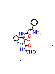 CC(C)[C@@H](C(=O)NC=O)C(=O)[C@@H](NC(=O)C[C@H](N)c1ccccc1)C1CCCC1